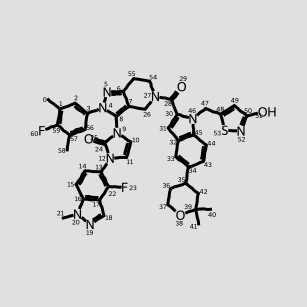 Cc1cc(-n2nc3c(c2-n2ccn(-c4ccc5c(cnn5C)c4F)c2=O)CN(C(=O)c2cc4cc(C5CCOC(C)(C)C5)ccc4n2Cc2cc(O)ns2)CC3)cc(C)c1F